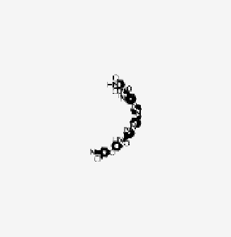 N#Cc1ccc(OC2CCC(NC(=O)c3ccc(N4CCC(CN5CCN(c6ccc7c(=O)n(C8CCC(=O)NC8=O)nnc7c6)CC5)CC4)nc3)CC2)cc1Cl